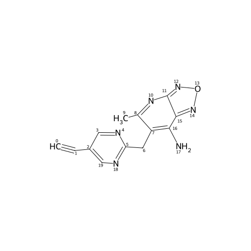 C#Cc1cnc(Cc2c(C)nc3nonc3c2N)nc1